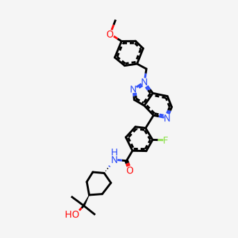 COc1ccc(Cn2ncc3c(-c4ccc(C(=O)N[C@H]5CC[C@H](C(C)(C)O)CC5)cc4F)nccc32)cc1